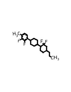 CCCC1CCC(C2CCC(c3ccc(C)c(F)c3F)CC2)C(F)(F)C1